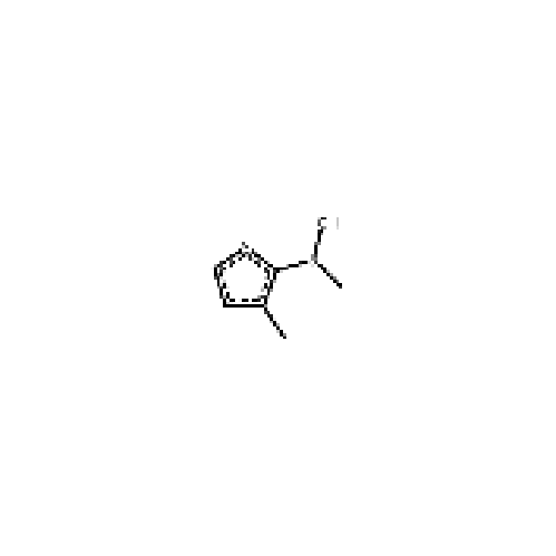 CB(O)c1sccc1C